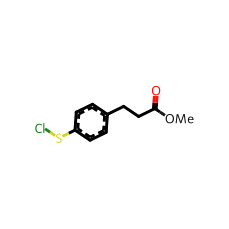 COC(=O)CCc1ccc(SCl)cc1